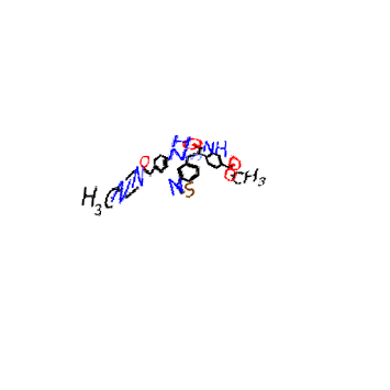 COC(=O)c1ccc2c(c1)NC(=O)/C2=C(\Nc1ccc(CC(=O)N2CCN(C)CC2)cc1)c1ccc2scnc2c1